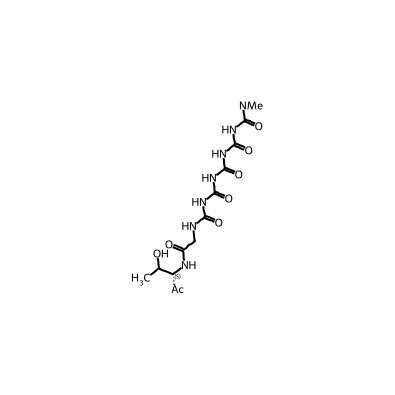 CNC(=O)NC(=O)NC(=O)NC(=O)NC(=O)NCC(=O)N[C@H](C(C)=O)C(C)O